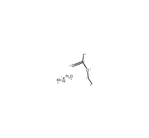 CCOC(C)=O.O.[KH].[KH]